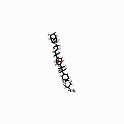 CC(C)(C)C1COC2(CCC(C(C)(C)C(C)(C)C3CC4CCC3CN4C(C)(C)CCC(C)(C)N3CC4CCC(C3)C4C(C)(C)C)CC2)OC1